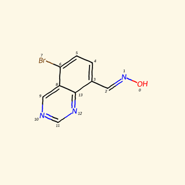 ON=Cc1ccc(Br)c2cncnc12